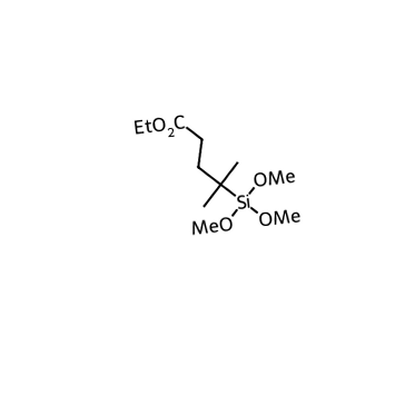 CCOC(=O)CCC(C)(C)[Si](OC)(OC)OC